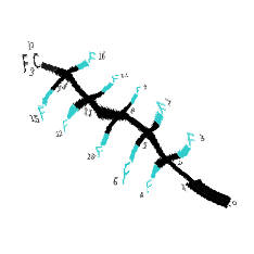 [C]#CC(F)(F)C(F)(F)C(F)(F)C(F)(F)C(F)(F)C(F)(F)F